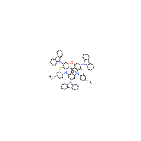 Cc1ccc2c(c1)Sc1c(-n3c4ccccc4c4ccccc43)cc3c4c1N2c1cc(-n2c5ccccc5c5ccccc52)cc2c1[Si]4(C)c1c(cc(-n4c5ccccc5c5ccccc54)c4c1N2c1ccc(C)cc1S4)O3